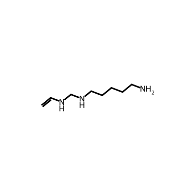 C=CNCNCCCCCN